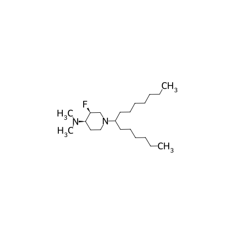 CCCCCCCC(CCCCCC)N1CC[C@@H](N(C)C)[C@@H](F)C1